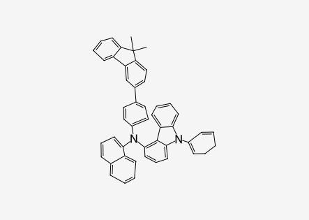 CC1(C)c2ccccc2-c2cc(-c3ccc(N(c4cccc5ccccc45)c4cccc5c4c4ccccc4n5C4=CCCC=C4)cc3)ccc21